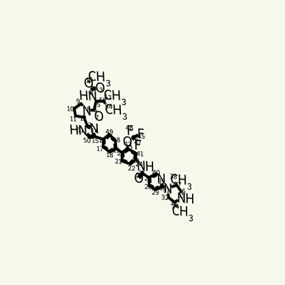 COC(=O)N[C@H](C(=O)N1CCCC1c1nc(-c2ccc(-c3ccc(NC(=O)c4ccc(N5C[C@H](C)NC[C@H]5C)nc4)cc3OC(F)(F)F)cc2)c[nH]1)C(C)C